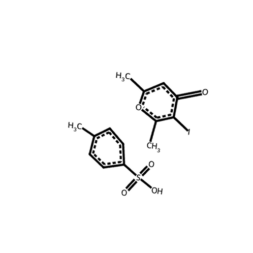 Cc1cc(=O)c(I)c(C)o1.Cc1ccc(S(=O)(=O)O)cc1